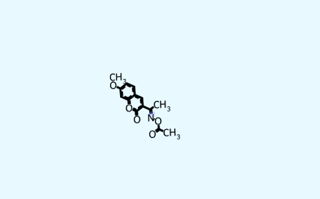 COc1ccc2cc(/C(C)=N/OC(C)=O)c(=O)oc2c1